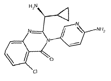 Nc1ccc(-n2c([C@@H](N)C3CC3)nc3cccc(Cl)c3c2=O)cn1